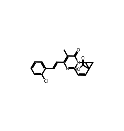 Cc1c(/C=C/c2ccccc2Cl)nc2n(c1=O)C1CC1(C(=O)O)C=C2